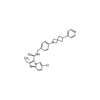 CCc1nc2ccc(Cl)cn2c1C(=O)NCc1ccc(N2CC3(CC(c4ccncc4)C3)C2)cc1